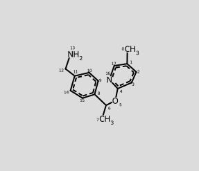 Cc1ccc(OC(C)c2ccc(CN)cc2)nc1